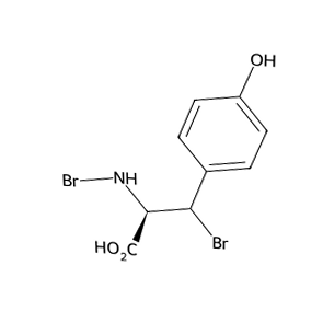 O=C(O)[C@@H](NBr)C(Br)c1ccc(O)cc1